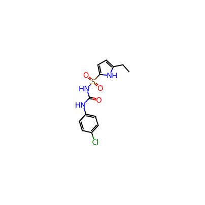 CCc1ccc(S(=O)(=O)NC(=O)Nc2ccc(Cl)cc2)[nH]1